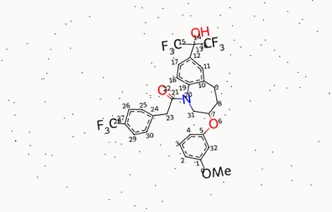 COc1cccc(OC2CCc3cc(C(O)(C(F)(F)F)C(F)(F)F)ccc3N(C(=O)Cc3ccc(C(F)(F)F)cc3)C2)c1